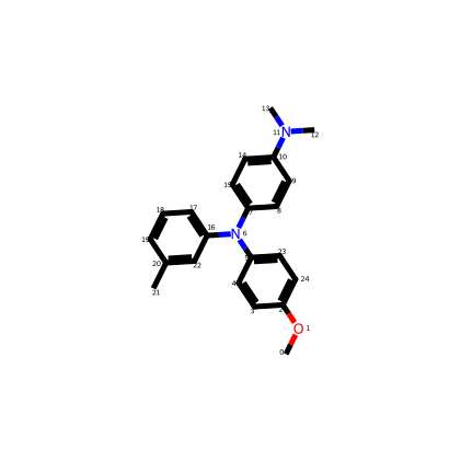 COc1ccc(N(c2ccc(N(C)C)cc2)c2cccc(C)c2)cc1